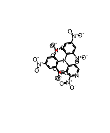 O=[N+]([O-])c1cc([N+](=O)[O-])c(N(c2ccnc([N+](=O)[O-])c2[N+](=O)[O-])c2c([N+](=O)[O-])cc([N+](=O)[O-])cc2[N+](=O)[O-])c([N+](=O)[O-])c1